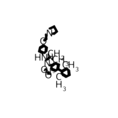 C=N/C(=N\c1c(C)cc(-c2c(C)cccc2C)cc1[N+](=O)[O-])Nc1ccc(OCCN2CCCC2)cc1